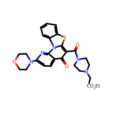 CCOC(=O)CN1CCN(C(=O)c2c(=O)c3ccc(N4CCOCC4)nc3n3c2sc2ccccc23)CC1